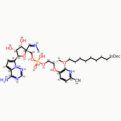 CCCCCCCCCCCCCCCCCCOC[C@@H](COP(=O)(O)OC[C@@]1(/C=N\C)O[C@@H](c2ccc3c(N)ncnn23)[C@H](O)[C@@H]1O)Oc1ccc(C#N)nc1